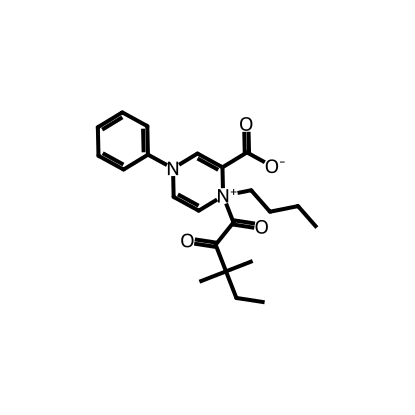 CCCC[N+]1(C(=O)C(=O)C(C)(C)CC)C=CN(c2ccccc2)C=C1C(=O)[O-]